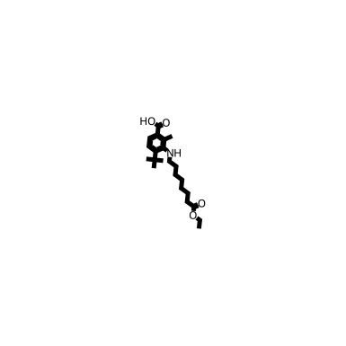 CCOC(=O)CCCCCCCNc1c(C(C)(C)C)ccc(C(=O)O)c1C